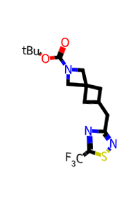 CC(C)(C)OC(=O)N1CC2(CC(Cc3nsc(C(F)(F)F)n3)C2)C1